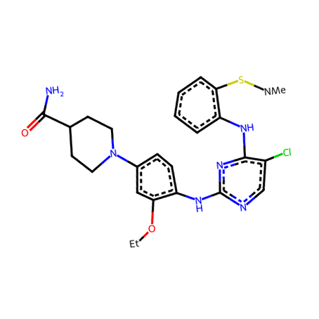 CCOc1cc(N2CCC(C(N)=O)CC2)ccc1Nc1ncc(Cl)c(Nc2ccccc2SNC)n1